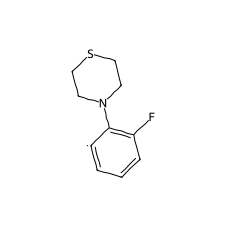 Fc1ccc[c]c1N1CCSCC1